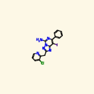 Nc1nc(-c2ccccc2)c(I)c2nc(Cc3ncccc3Cl)nn12